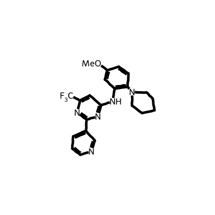 COc1ccc(N2CCCCC2)c(Nc2cc(C(F)(F)F)nc(-c3cccnc3)n2)c1